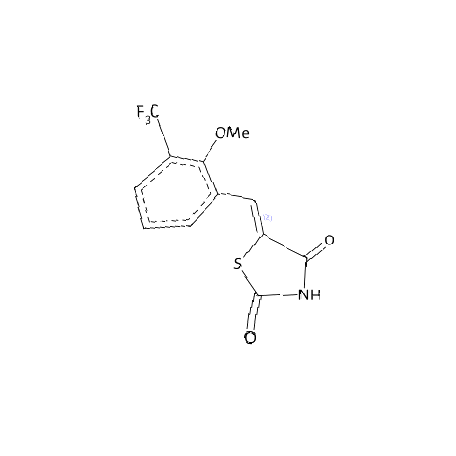 COc1c(/C=C2\SC(=O)NC2=O)cccc1C(F)(F)F